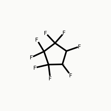 F[C]1C(F)C(F)(F)C(F)(F)C1(F)F